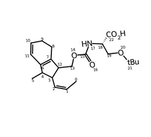 C/C=C\C1C(C)C2=C(CCC=C2)C1COC(=O)N[C@@H](COC(C)(C)C)C(=O)O